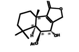 CC(=O)O[C@@H]1[C@@H](O)C2=C(C(=O)OC2)[C@@]2(C)CCCC(C)(C)[C@H]12